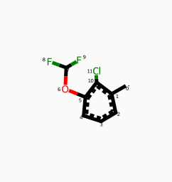 [CH2]c1cccc(OC(F)F)c1Cl